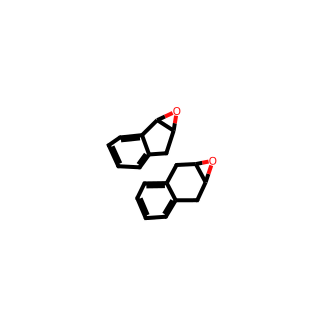 c1ccc2c(c1)CC1OC1C2.c1ccc2c(c1)CC1OC21